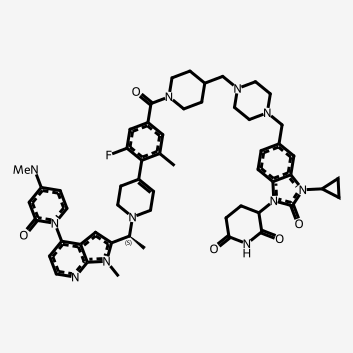 CNc1ccn(-c2ccnc3c2cc([C@H](C)N2CC=C(c4c(C)cc(C(=O)N5CCC(CN6CCN(Cc7ccc8c(c7)n(C7CC7)c(=O)n8C7CCC(=O)NC7=O)CC6)CC5)cc4F)CC2)n3C)c(=O)c1